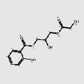 CC(=O)Oc1ccccc1C(=O)OCC(O)COC(=O)CO